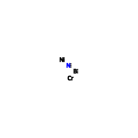 [B].[Cr].[N].[Ni]